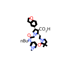 CCCCN(C(=O)CN1C[C@H](c2ccc3c(c2)CCO3)[C@@H](C(=O)O)[C@@H]1CCN1CCC(C)(C)C1=O)c1ccc[n+](C)c1